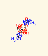 Nc1nc2c(ncn2C2OC3COP(=O)(O)OC4C(COP(=O)(O)OC2C3CC(F)(F)F)OC(n2cnc3c(N)ncnc32)C4O)c(=O)[nH]1